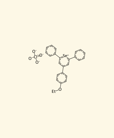 CCOc1ccc(-c2cc(-c3ccccc3)[se+]c(-c3ccccc3)c2)cc1.[O-][Cl+3]([O-])([O-])[O-]